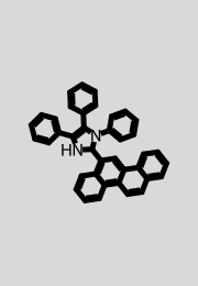 c1ccc(C2=C(c3ccccc3)N(c3ccccc3)C(c3cc4c5ccccc5ccc4c4ccccc34)N2)cc1